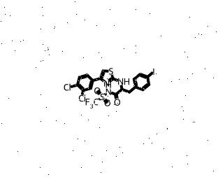 O=C(NS(=O)(=O)C(F)(F)F)C(Cc1ccc(I)cc1)Nc1nc(-c2ccc(Cl)c(Cl)c2)cs1